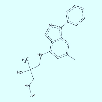 CCCNCC(O)(CNc1cc(C)cc2c1cnn2-c1ccccc1)C(F)(F)F